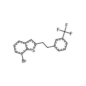 FC(F)(F)c1cccc(CCc2cc3cccc(Br)c3s2)c1